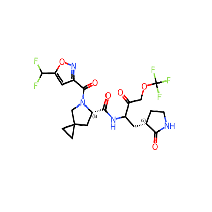 O=C(COC(F)(F)F)C(C[C@@H]1CCNC1=O)NC(=O)[C@@H]1CC2(CC2)CN1C(=O)c1cc(C(F)F)on1